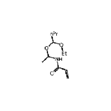 C=CC(=O)NC(C)OC(CCC)OCC